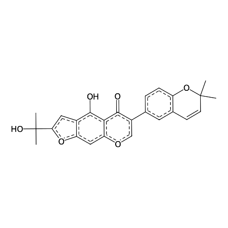 CC1(C)C=Cc2cc(-c3coc4cc5oc(C(C)(C)O)cc5c(O)c4c3=O)ccc2O1